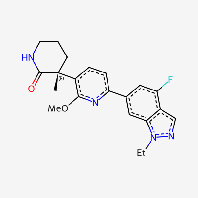 CCn1ncc2c(F)cc(-c3ccc([C@@]4(C)CCCNC4=O)c(OC)n3)cc21